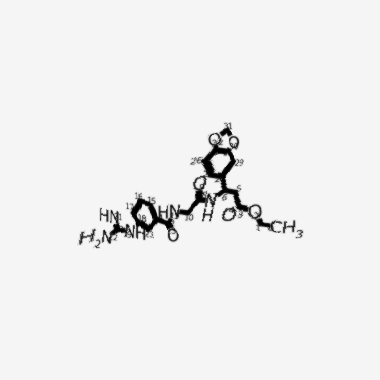 CCOC(=O)CC(NC(=O)CNC(=O)c1cccc(NC(=N)N)c1)c1ccc2c(c1)OCO2